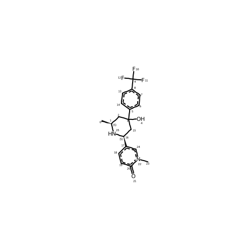 C[C@H]1CC(O)(c2ccc(C(F)(F)F)cc2)C[C@@H](c2ccc(=O)n(C)c2)N1